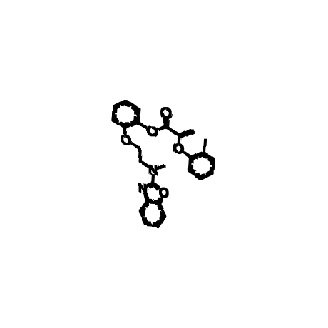 C=C(Oc1ccccc1C)C(=O)Oc1ccccc1OCCN(C)c1nc2ccccc2o1